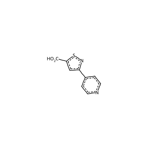 O=C(O)c1cc(-c2ccncc2)ns1